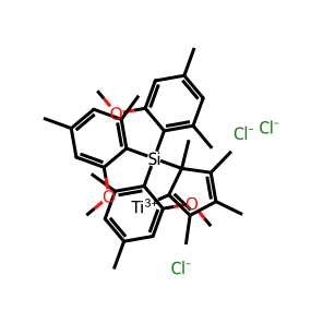 COc1cc(C)cc(C)c1[Si](c1c(C)cc(C)cc1OC)(c1c(C)cc(C)cc1OC)C1(C)C(C)=C(C)C(C)=[C]1[Ti+3].[Cl-].[Cl-].[Cl-]